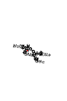 CON1C(C)(C)CC(COC(=O)c2ccc(-c3ccc(C(=O)OCC4CC(C)(C)N(OC)C4(C)C)c(C(=O)OCC4CC(C)(C)N(OC)C4(C)C)c3)cc2C(=O)OCC2CC(C)(C)N(OC)C2(C)C)C1(C)C